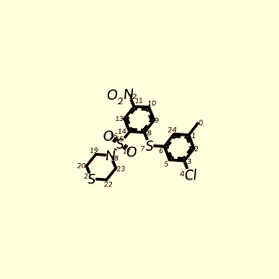 Cc1cc(Cl)cc(Sc2ccc([N+](=O)[O-])cc2S(=O)(=O)N2CCSCC2)c1